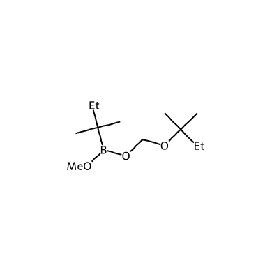 CCC(C)(C)OCOB(OC)C(C)(C)CC